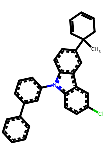 CC1(c2ccc3c(c2)c2cc(Cl)ccc2n3-c2cccc(-c3ccccc3)c2)C=CC=CC1